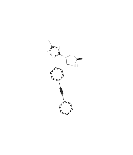 Cc1noc([C@H]2OC(=O)N[C@@H]2c2cccc(C#Cc3ccccc3)c2)n1